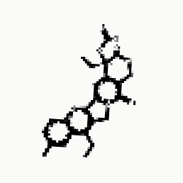 CCc1c2c(nc3ccc(C)cc13)-c1cc3c(c(=O)n1C2)COC(=O)[C@@]3(CC)OC(=O)Cl